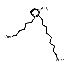 CCCCCCCCCCCCCCCCCCCc1n(C)cc[n+]1CCCCCCCCCCCCCCC